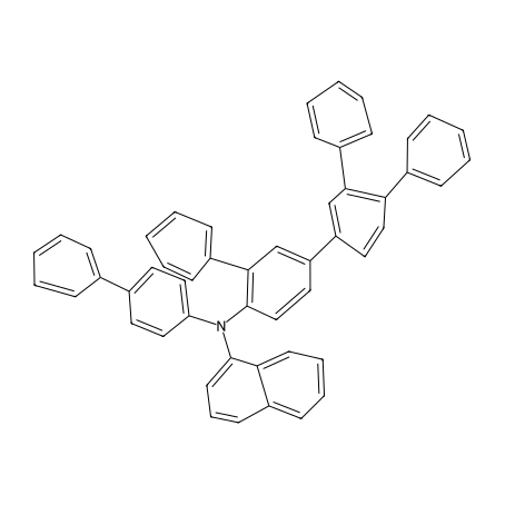 c1ccc(-c2ccc(N(c3ccc(-c4ccc(-c5ccccc5)c(-c5ccccc5)c4)cc3-c3ccccc3)c3cccc4ccccc34)cc2)cc1